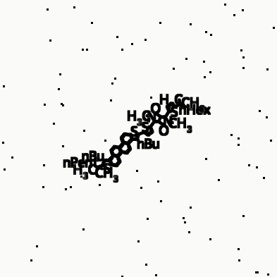 CCCCCCC(C)(C)c1ccc(C2=C3C(=O)N(C)C(c4ccc(-c5sc6ccc7c8ccc9c(ccc%10sc(C(C)(C)CCCCC)c(CCCC)c%109)c8ccc7c6c5CCCC)s4)=C3C(=O)N2C)s1